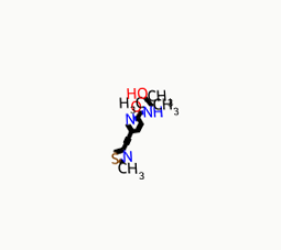 Cc1nc(C#Cc2ccc(C(=O)N[C@H](C)C(C)(C)O)nc2)cs1